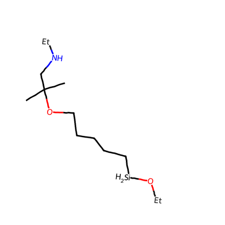 CCNCC(C)(C)OCCCCC[SiH2]OCC